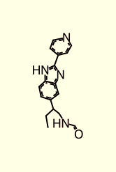 CCC(CNC=O)c1ccc2[nH]c(-c3ccncc3)nc2c1